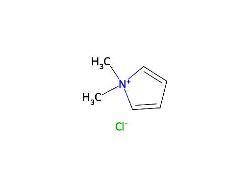 C[N+]1(C)C=CC=C1.[Cl-]